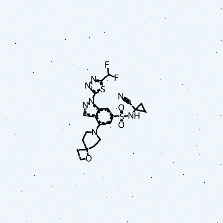 N#CC1(NS(=O)(=O)c2cc(N3CCC4(CCO4)CC3)c3cnn(-c4nnc(C(F)F)s4)c3c2)CC1